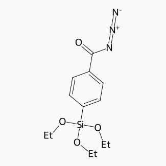 CCO[Si](OCC)(OCC)c1ccc(C(=O)N=[N+]=[N-])cc1